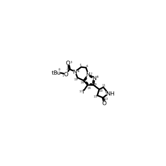 CC(C)(C)OC(=O)N1CCn2nc(C3CNC(=O)C3)c(I)c2C1